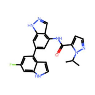 CC(C)n1nccc1C(=O)Nc1cc(-c2cc(F)cc3[nH]ccc23)cc2[nH]ncc12